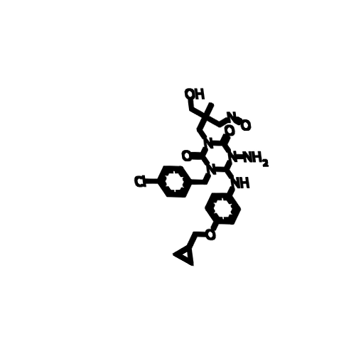 CC(CO)(CN=O)CN1C(=O)N(N)C(Nc2ccc(OCC3CC3)cc2)N(Cc2ccc(Cl)cc2)C1=O